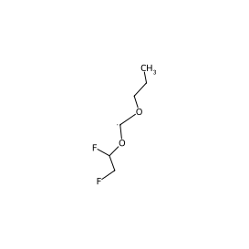 CCCO[CH]OC(F)CF